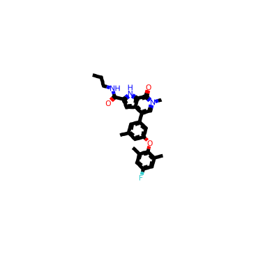 CCCNC(=O)c1cc2c(-c3cc(C)cc(Oc4c(C)cc(F)cc4C)c3)cn(C)c(=O)c2[nH]1